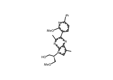 COC[C@@H](CO)n1cc(C)c2nc(-c3ccc(C(C)C)nc3OC)c(C)nc21